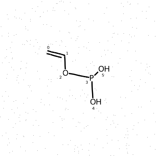 C=COP(O)O